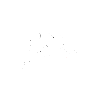 C=CCc1ccc2ccc3ccc(C(=O)C=C)c4c(O)cc1c2c34